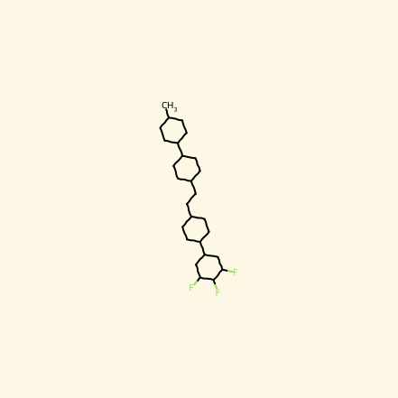 CC1CCC(C2CCC(CCC3CCC(C4CC(F)C(F)C(F)C4)CC3)CC2)CC1